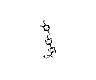 CC(F)c1nnc(-c2cnc(COc3ccc(F)c(F)c3)nc2)o1